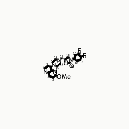 COc1ccc2nccc(N3CCN(C[C@@H]4CN(c5ccc(F)c(F)c5)C(=O)O4)CC3)c2n1